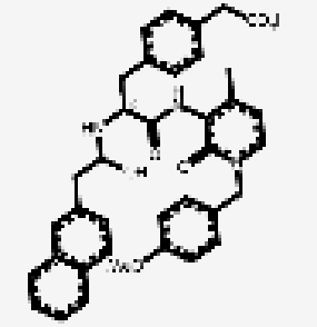 COc1ccc(Cn2ccc(C)c(NC(=O)[C@H](Cc3ccc(CC(=O)O)cc3)NC(O)Cc3ccc4ccccc4c3)c2=O)cc1